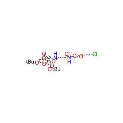 CC(C)(C)COc1ccc2c(c1)Oc1cc(OC(=O)C(C)(C)C)ccc1C21OC(=O)c2ccc(C(=O)NCCCCCC(=O)NCCOCCOCCCCCCCl)cc21